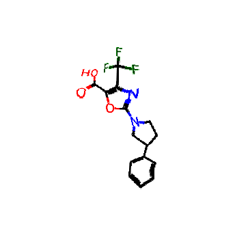 O=C(O)c1oc(N2CCC(c3ccccc3)C2)nc1C(F)(F)F